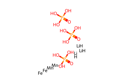 O=P(O)(O)O.O=P(O)(O)O.O=P(O)(O)O.[Fe].[Fe].[LiH].[LiH].[LiH].[Mn].[Mn]